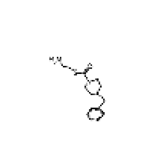 NCCSC(=O)N1CCC(Cc2ccccc2)CC1